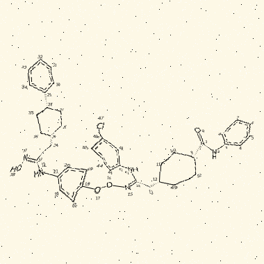 O=C(Nc1ccccc1)[C@H]1CC[C@@H](C/C(=N/OOc2ccc(N/C(C[C@H]3CC[C@@H](c4ccccc4)CC3)=N\O)cc2)Nc2cccc(Cl)c2)CC1